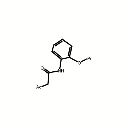 CC(=O)CC(=O)Nc1ccccc1OC(C)C